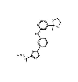 CC(=O)N[C@@H](C)c1ncc(-c2cccc(Nc3cc(C4(C)OCCO4)ccn3)n2)s1